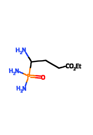 CCOC(=O)CCC(N)P(N)(N)=O